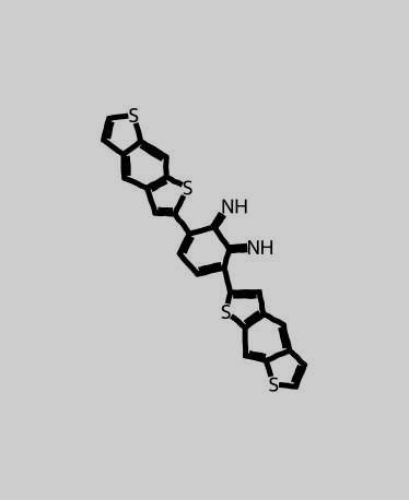 N=C1C(=N)C(c2cc3cc4ccsc4cc3s2)=CC=C1c1cc2cc3ccsc3cc2s1